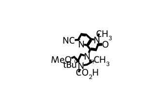 COC[C@]1(C(C)(C)C)CN(c2cc(=O)n(C)c3ccc(C#N)nc23)[C@@H](C)CN1C(=O)O